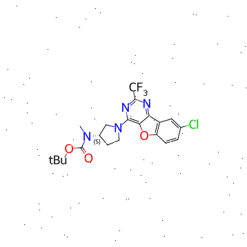 CN(C(=O)OC(C)(C)C)[C@H]1CCN(c2nc(C(F)(F)F)nc3c2oc2ccc(Cl)cc23)C1